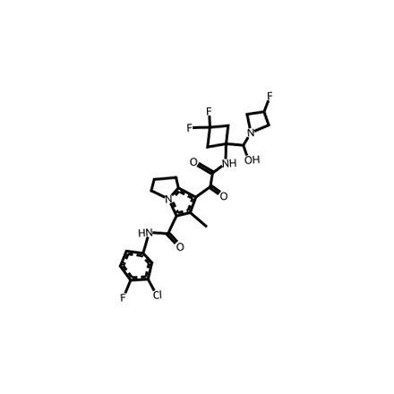 Cc1c(C(=O)C(=O)NC2(C(O)N3CC(F)C3)CC(F)(F)C2)c2n(c1C(=O)Nc1ccc(F)c(Cl)c1)CCC2